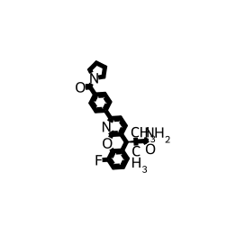 CC(C)(C(N)=O)[C@@H]1c2ccc(-c3ccc(C(=O)N4CCCC4)cc3)nc2Oc2c(F)cccc21